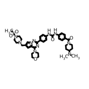 CN(C)C1CCN(C(=O)c2ccc(NC(=O)Nc3ccc(-c4nc(N5CCOCC5)c5cc(CN6CCN(S(C)(=O)=O)CC6)cn5n4)cc3)cc2)CC1